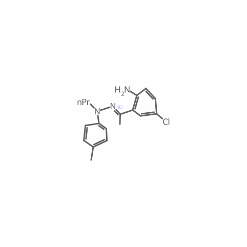 CCCN(/N=C(\C)c1cc(Cl)ccc1N)c1ccc(C)cc1